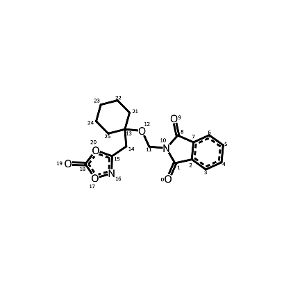 O=C1c2ccccc2C(=O)N1COC1(Cc2noc(=O)o2)CCCCC1